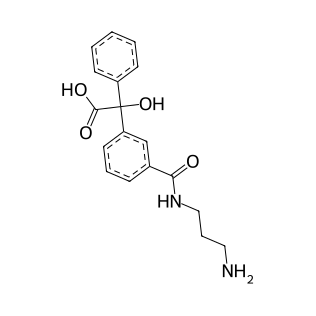 NCCCNC(=O)c1cccc(C(O)(C(=O)O)c2ccccc2)c1